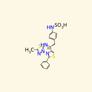 Cc1nnc(N[C@@H](Cc2ccc(NS(=O)(=O)O)cc2)c2csc(-c3ccccc3)n2)s1